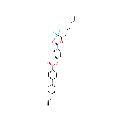 C=CCc1ccc(-c2ccc(C(=O)Oc3ccc(C(=O)OC(CCCCCC)C(F)(F)F)cc3)cc2)cc1